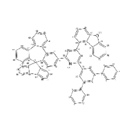 c1ccc(-c2cc(-c3ccccc3)cc(-c3cc(-c4cccc5oc6ccccc6c45)nc(-c4ccc5c(c4)-c4ccccc4-c4ccccc4C54c5ccccc5-c5ccccc54)n3)c2)cc1